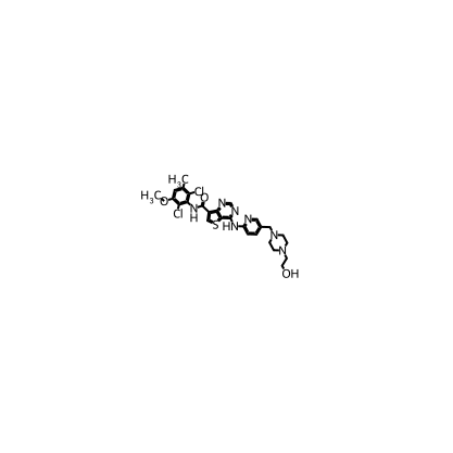 COc1cc(C)c(Cl)c(NC(=O)c2csc3c(Nc4ccc(CN5CCN(CCO)CC5)cn4)ncnc23)c1Cl